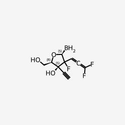 B[C@@H]1O[C@H](CO)[C@@](O)(C#C)C1(F)C=C=C(F)F